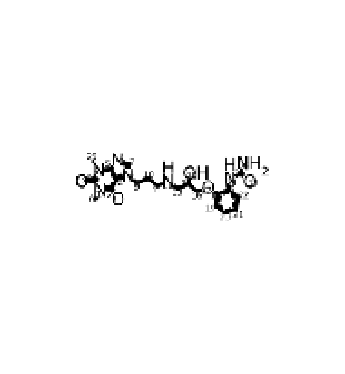 Cn1c(=O)c2c(ncn2CCCNCC(O)COc2ccccc2NC(N)=O)n(C)c1=O